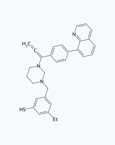 C=C=C(c1ccc(-c2cccc3cccnc23)cc1)N1CCCN(Cc2cc(S)cc(CC)c2)C1